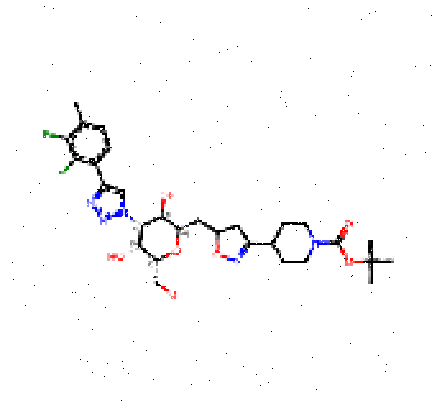 Cc1ccc(-c2cn([C@H]3[C@@H](O)[C@@H](CO)O[C@H](CC4CC(C5CCN(C(=O)OC(C)(C)C)CC5)=NO4)[C@@H]3O)nn2)c(F)c1F